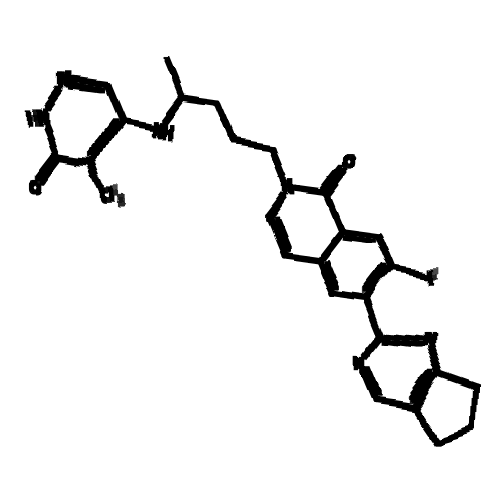 CC(CCCn1ccc2cc(-c3ncc4c(n3)CCC4)c(F)cc2c1=O)Nc1cn[nH]c(=O)c1C(F)(F)F